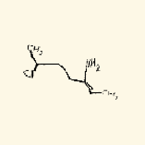 CC=C(N)CCC(C)Cl